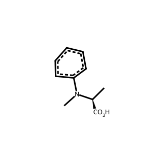 C[C@@H](C(=O)O)N(C)c1ccccc1